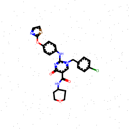 O=C(NC1CCOCC1)c1cn(Cc2ccc(Cl)cc2)c(Nc2ccc(Oc3nccs3)cc2)nc1=O